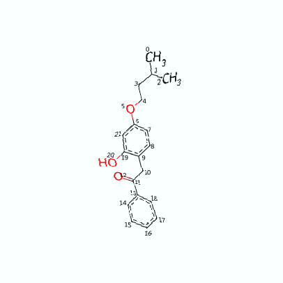 CC(C)CCOc1ccc(CC(=O)c2ccccc2)c(O)c1